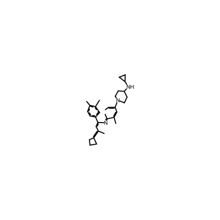 C\C=C(/C=C(C)\C(C)=N\C(=C/C(C)=C1CCC1)c1ccc(C)c(C)c1)N1CCC(NC2CC2)CC1